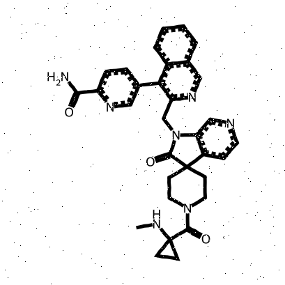 CNC1(C(=O)N2CCC3(CC2)C(=O)N(Cc2ncc4ccccc4c2-c2ccc(C(N)=O)nc2)c2cnccc23)CC1